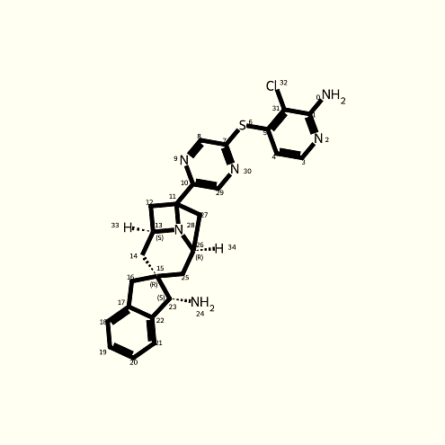 Nc1nccc(Sc2cnc(C34C[C@@H]5C[C@]6(Cc7ccccc7[C@H]6N)C[C@H](C3)N54)cn2)c1Cl